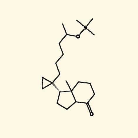 CC(CCCCC1([C@H]2CCC3C(=O)CCCC32C)CC1)O[Si](C)(C)C